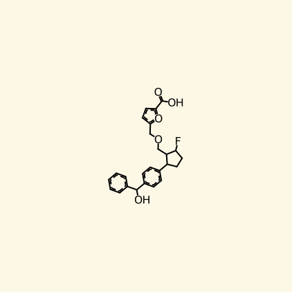 O=C(O)c1ccc(COCC2C(F)CCC2c2ccc(C(O)c3ccccc3)cc2)o1